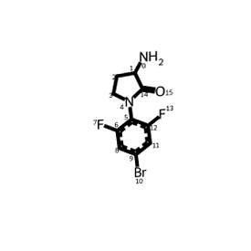 NC1CCN(c2c(F)cc(Br)cc2F)C1=O